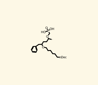 [CH2]C(CCC(Cc1ccccc1)OCCCCCCCCCCCCCCCC)OCP(=O)(O)O